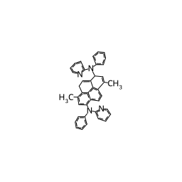 CC1=CC(N(c2ccccc2)c2ccccn2)C2=CCc3c(C)cc(N(c4ccccc4)c4ccccn4)c4ccc1c2c34